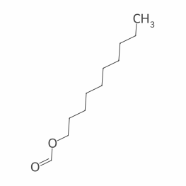 CCCCCCCCCCOC=O